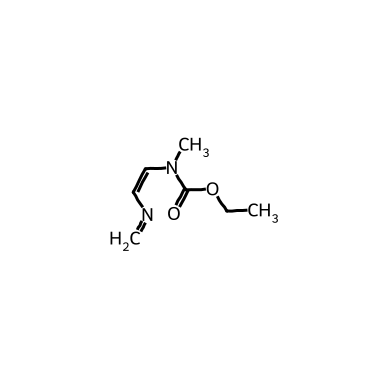 C=N/C=C\N(C)C(=O)OCC